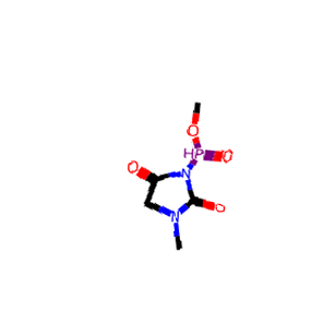 CO[PH](=O)N1C(=O)CN(C)C1=O